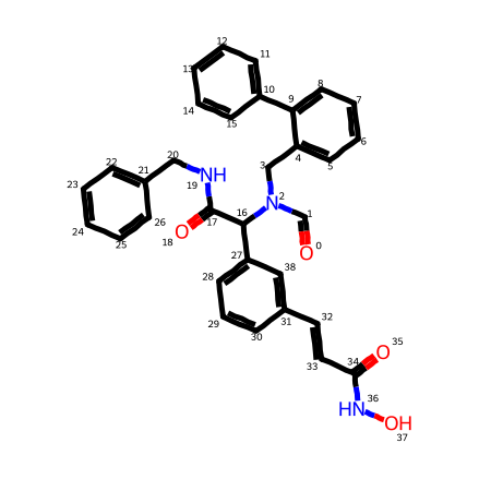 O=CN(Cc1ccccc1-c1ccccc1)C(C(=O)NCc1ccccc1)c1cccc(/C=C/C(=O)NO)c1